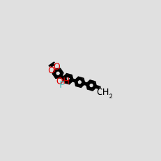 C=CC1CCC(C2CCC(c3ccc(C4(O)CCC5(CC4)OCCO5)c(F)c3)CC2)CC1